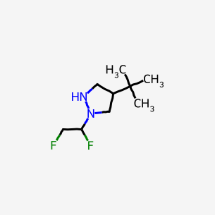 CC(C)(C)C1CNN(C(F)CF)C1